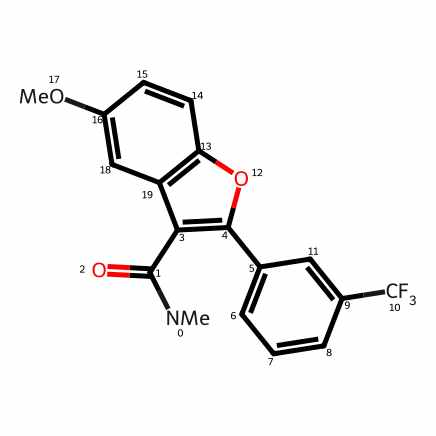 CNC(=O)c1c(-c2cccc(C(F)(F)F)c2)oc2ccc(OC)cc12